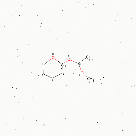 COC(C)[O][Al]1[CH2]CCC[O]1